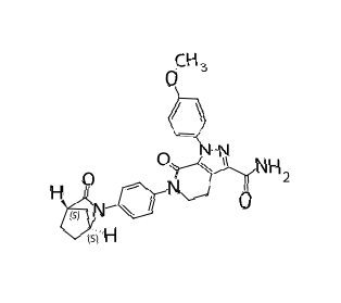 COc1ccc(-n2nc(C(N)=O)c3c2C(=O)N(c2ccc(N4C(=O)[C@H]5CC[C@H]4C5)cc2)CC3)cc1